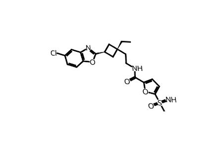 CC[C@]1(CCNC(=O)c2ccc(S(C)(=N)=O)o2)C[C@H](c2nc3cc(Cl)ccc3o2)C1